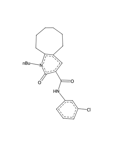 CCCCn1c2c(cc(C(=O)Nc3cccc(Cl)c3)c1=O)CCCCCC2